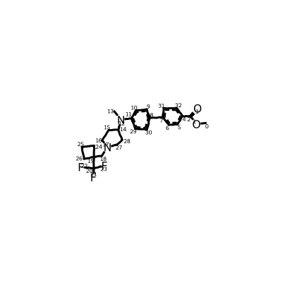 COC(=O)c1ccc(-c2ccc(N(C)C3CCN(CC4(C(F)(F)F)CCC4)CC3)cc2)cc1